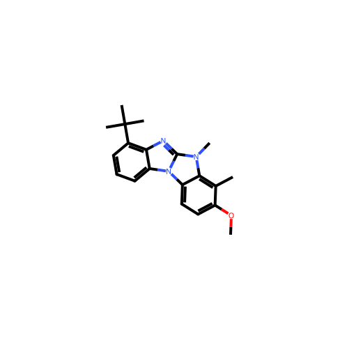 COc1ccc2c(c1C)n(C)c1nc3c(C(C)(C)C)cccc3n21